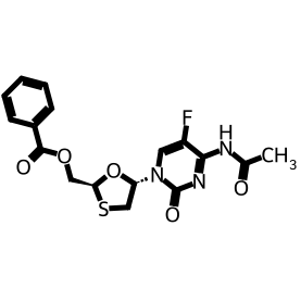 CC(=O)Nc1nc(=O)n([C@@H]2CS[C@@H](COC(=O)c3ccccc3)O2)cc1F